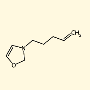 C=CCCCN1C=COC1